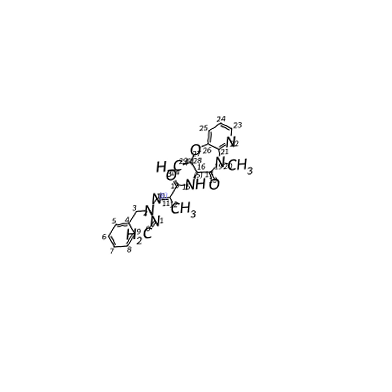 C=NN(Cc1ccccc1)/N=C(\C)C(=O)N[C@@H]1C(=O)N(C)c2ncccc2O[C@@H]1C